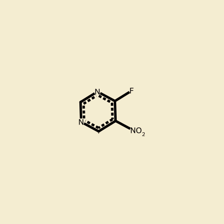 O=[N+]([O-])c1[c]ncnc1F